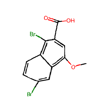 COc1cc(C(=O)O)c(Br)c2ccc(Br)cc12